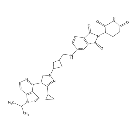 CC(C)n1ccc2c(C3CN(C4CC(CNc5ccc6c(c5)C(=O)N(C5CCC(=O)NC5=O)C6=O)C4)N=C3C3CC3)nccc21